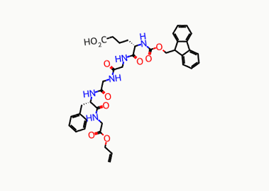 C=CCOC(=O)CNC(=O)[C@H](Cc1ccccc1)NC(=O)CNC(=O)CNC(=O)[C@H](CCCC(=O)O)NC(=O)OCC1c2ccccc2-c2ccccc21